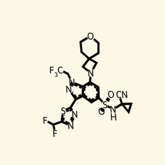 N#CC1(NS(=O)(=O)c2cc(N3CC4(CCOCC4)C3)c3c(c2)c(-c2nnc(C(F)F)s2)nn3CC(F)(F)F)CC1